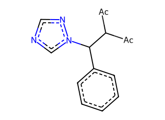 CC(=O)C(C(C)=O)C(c1ccccc1)n1cncn1